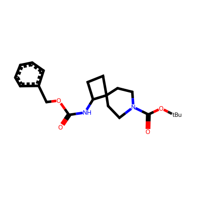 CC(C)(C)OC(=O)N1CCC2(CCC2NC(=O)OCc2ccccc2)CC1